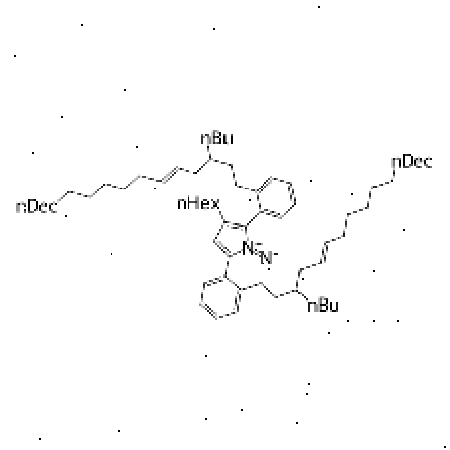 CCCCCCCCCCCCCCCC=CCC(CCCC)CCc1ccccc1C1=CC(CCCCCC)=C(c2ccccc2CCC(CC=CCCCCCCCCCCCCCCC)CCCC)[N+]1=[N-]